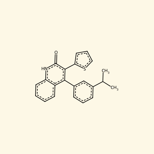 CC(C)c1cccc(-c2c(-c3cccs3)c(=O)[nH]c3ccccc23)c1